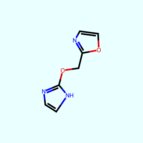 c1c[nH]c(OCc2ncco2)n1